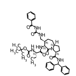 CC[C@H](NC(=O)OC(C)(C)C)C(=O)N[C@@H]1C(=O)N2[C@@H](CC[C@@H]1CNC(=O)NC(=O)c1ccccc1)CC[C@H]2C(=O)NC(c1ccccc1)c1ccccc1